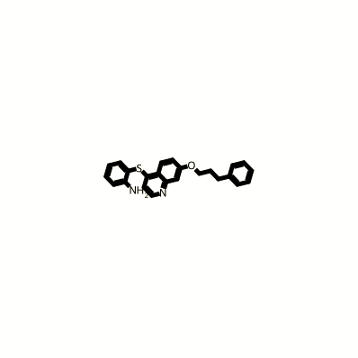 Nc1ccccc1Sc1ccnc2cc(OCCCc3ccccc3)ccc12